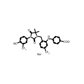 CC1(C)C(=O)N(c2ccc(C#N)c(C(F)(F)F)c2)C(=O)N1Cc1ccc(C(F)(F)F)cc1Nc1ccc(C(=O)[O-])cc1.[Na+]